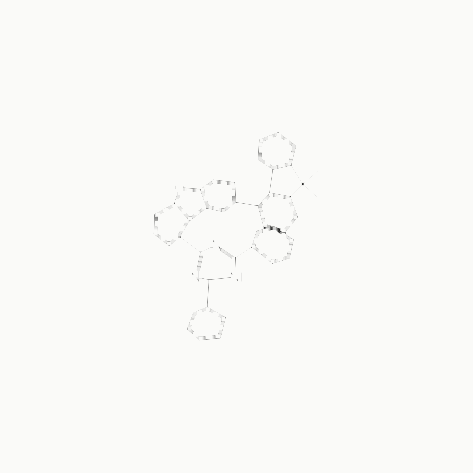 CC1(C)c2ccccc2-c2c(-c3ccc4oc5cccc(C6=NC(c7ccccc7)NC(c7ccccc7)=N6)c5c4c3)cccc21